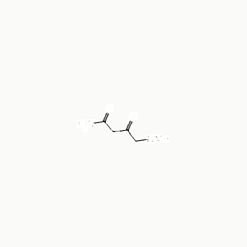 CNCC(=O)CC(N)=O